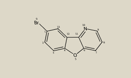 Brc1ccc2oc3cccnc3c2c1